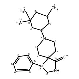 CC1CC(N2CCC3(CC2)C(=O)NCN3c2ccccc2)CC(C)(C)C1